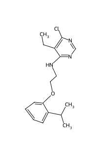 CCc1c(Cl)ncnc1NCCOc1ccccc1C(C)C